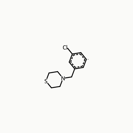 Clc1c[c]cc(CN2CCSCC2)c1